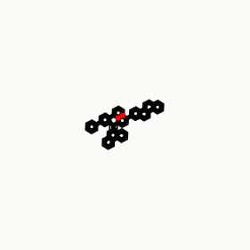 c1ccc(-c2ccc(-c3ccccc3)c(N(c3ccc(-c4ccc5c(ccc6c7ccccc7ccc56)c4)cc3)c3cc4ccccc4c4ccccc34)c2)cc1